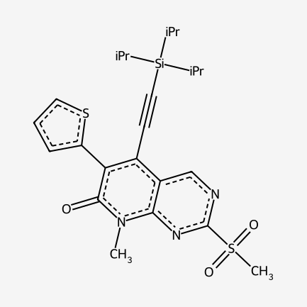 CC(C)[Si](C#Cc1c(-c2cccs2)c(=O)n(C)c2nc(S(C)(=O)=O)ncc12)(C(C)C)C(C)C